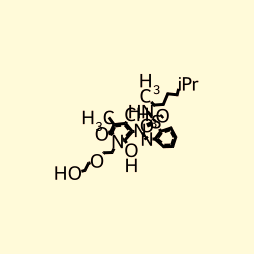 Cc1c(/N=N/c2ccccc2S(=O)(=O)NC(C)CCCC(C)C)c(O)n(CCOCCO)c(=O)c1C